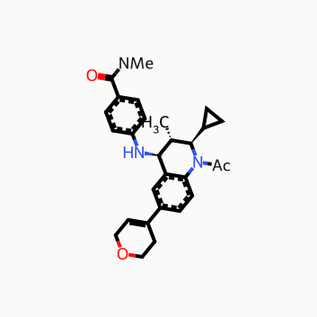 CNC(=O)c1ccc(N[C@@H]2c3cc(C4=CCOCC4)ccc3N(C(C)=O)[C@H](C3CC3)[C@H]2C)cc1